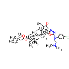 CC(C)C1=C2[C@H]3CC[C@@H]4[C@@]5(C)CC[C@H](OC(=O)CC(C)(C)C(=O)O)C(C)(C)[C@@H]5CC[C@@]4(C)[C@]3(C)CC[C@@]2(c2nnc(N(CCN(C)C)c3ccc(Cl)cc3)o2)CC1=O